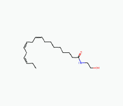 CC/C=C\C/C=C\C/C=C\CCCCCCCC(=O)NCCO